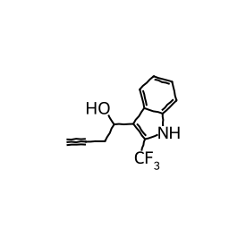 C#CCC(O)c1c(C(F)(F)F)[nH]c2ccccc12